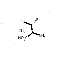 C.CC[C@@H](C)[C@@H](N)C(=O)O